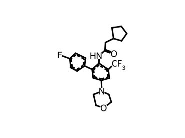 O=C(CC1CCCC1)Nc1c(-c2ccc(F)cc2)cc(N2CCOCC2)cc1C(F)(F)F